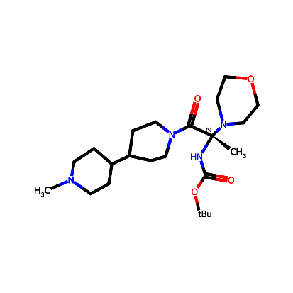 CN1CCC(C2CCN(C(=O)[C@@](C)(NC(=O)OC(C)(C)C)N3CCOCC3)CC2)CC1